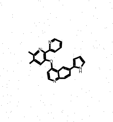 Cc1cc(Oc2ccnc3ccc(-c4ccc[nH]4)cc23)c(-c2ccccn2)nc1C